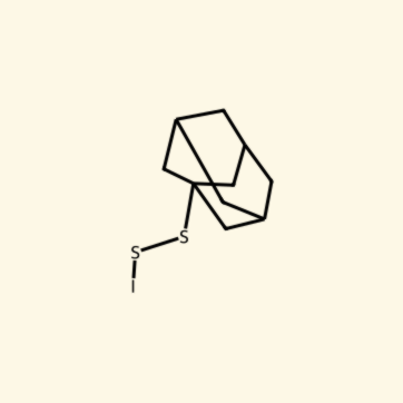 ISSC12CC3CC(CC(C3)C1)C2